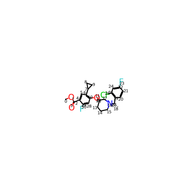 COC(=O)c1cc(C2CC2)c(O[C@@H]2CCCN([C@@H](C)c3ccc(F)cc3Cl)C2)cc1F